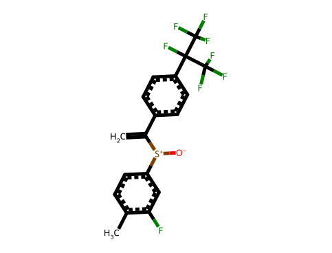 C=C(c1ccc(C(F)(C(F)(F)F)C(F)(F)F)cc1)[S+]([O-])c1ccc(C)c(F)c1